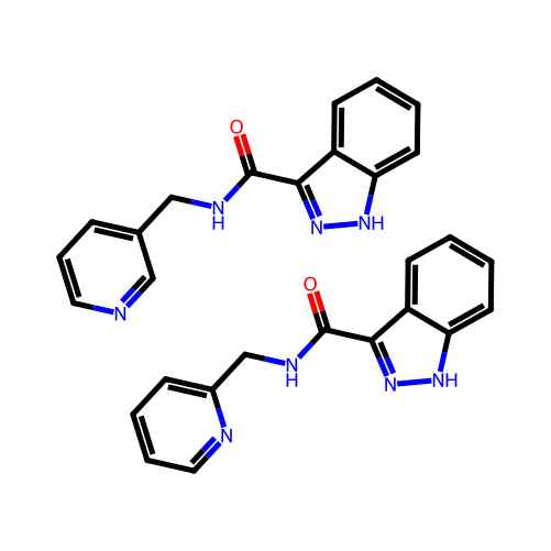 O=C(NCc1ccccn1)c1n[nH]c2ccccc12.O=C(NCc1cccnc1)c1n[nH]c2ccccc12